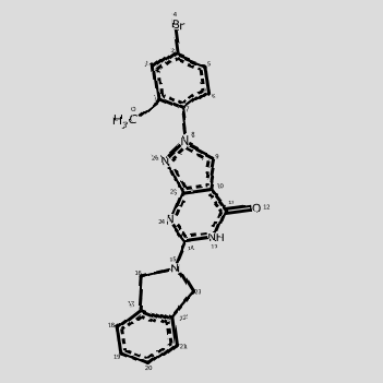 Cc1cc(Br)ccc1-n1cc2c(=O)[nH]c(N3Cc4ccccc4C3)nc2n1